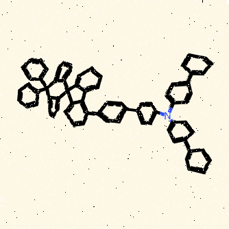 c1ccc(-c2ccc(N(c3ccc(-c4ccccc4)cc3)c3ccc(-c4ccc(-c5cccc6c5-c5ccccc5C65c6ccccc6C(c6ccccc6)(c6ccccc6)c6ccccc65)cc4)cc3)cc2)cc1